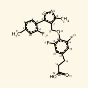 Cc1ccc(-c2snc(C)c2COc2c(F)cc(CCC(=O)O)cc2F)c(F)c1